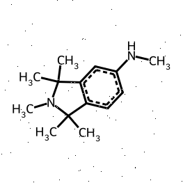 CNc1ccc2c(c1)C(C)(C)N(C)C2(C)C